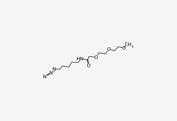 COCCOCCOCC(=O)NCCCCCN=[N+]=[N-]